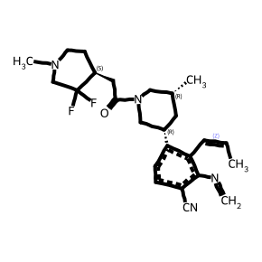 C=Nc1c(C#N)ccc([C@H]2C[C@@H](C)CN(C(=O)C[C@@H]3CCN(C)CC3(F)F)C2)c1/C=C\C